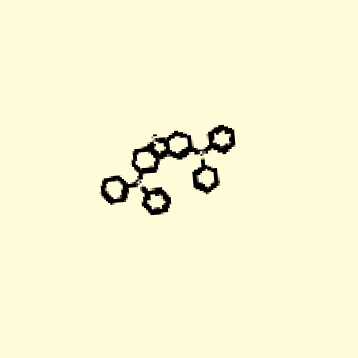 C1=CCCC(P(C2=Cc3c(sc4c3C=C(P(C3=CC=CCC3)c3ccccc3)CC4)CC2)c2ccccc2)=C1